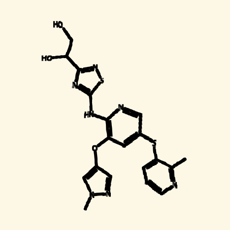 Cc1ncccc1Sc1cnc(Nc2nc(C(O)CO)ns2)c(Oc2cnn(C)c2)c1